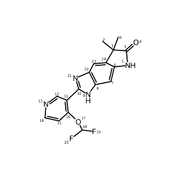 CC1(C)C(=O)Nc2cc3[nH]c(-c4cnccc4OC(F)F)nc3cc21